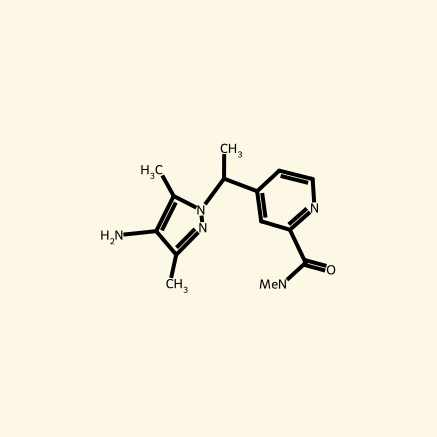 CNC(=O)c1cc(C(C)n2nc(C)c(N)c2C)ccn1